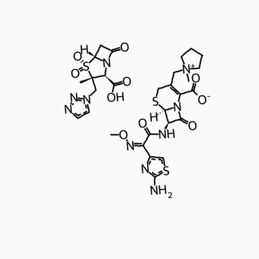 CO/N=C(\C(=O)N[C@@H]1C(=O)N2C(C(=O)[O-])=C(C[N+]3(C)CCCC3)CS[C@H]12)c1csc(N)n1.C[C@]1(Cn2ccnn2)[C@H](C(=O)O)N2C(=O)C[C@H]2S1(=O)=O